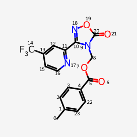 Cc1ccc(C(=O)OCn2c(-c3cc(C(F)(F)F)ccn3)noc2=O)cc1